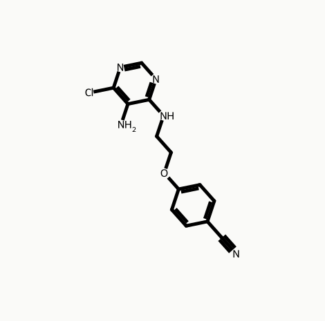 N#Cc1ccc(OCCNc2ncnc(Cl)c2N)cc1